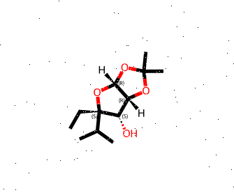 CC[C@@]1(C(C)C)O[C@@H]2OC(C)(C)O[C@@H]2[C@@H]1O